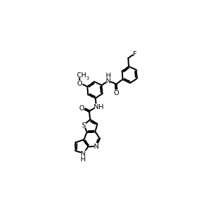 COc1cc(NC(=O)c2cccc(CF)c2)cc(NC(=O)c2cc3cnc4[nH]ccc4c3s2)c1